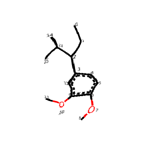 CCC(c1ccc(OC)c(OC)c1)C(C)C